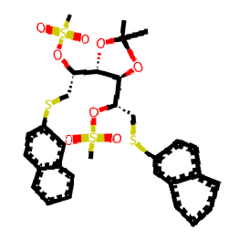 CC1(C)O[C@@H]([C@H](CSc2ccc3ccccc3c2)OS(C)(=O)=O)[C@H]([C@H](CSc2ccc3ccccc3c2)OS(C)(=O)=O)O1